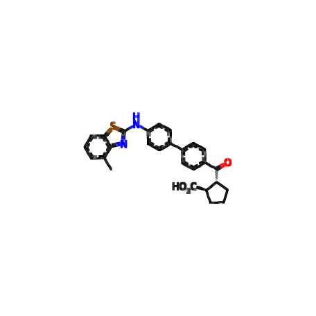 Cc1cccc2sc(Nc3ccc(-c4ccc(C(=O)[C@@H]5CCC[C@H]5C(=O)O)cc4)cc3)nc12